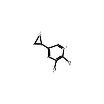 Clc1cc(C2CO2)cnc1Cl